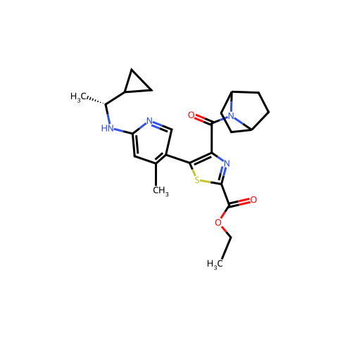 CCOC(=O)c1nc(C(=O)N2C3CCC2CC3)c(-c2cnc(N[C@H](C)C3CC3)cc2C)s1